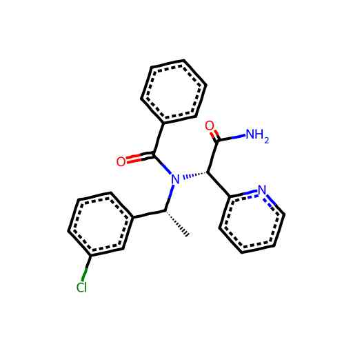 C[C@H](c1cccc(Cl)c1)N(C(=O)c1ccccc1)[C@H](C(N)=O)c1ccccn1